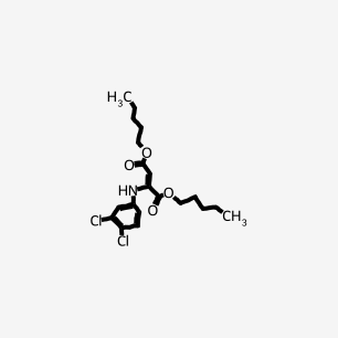 CCCCCOC(=O)/C=C(\Nc1ccc(Cl)c(Cl)c1)C(=O)OCCCCC